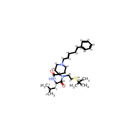 CC(C)C[C@@H]1NC(=O)C2(CCN(CCCCCc3ccccc3)CC2)N(CCSC(C)(C)C)C1=O